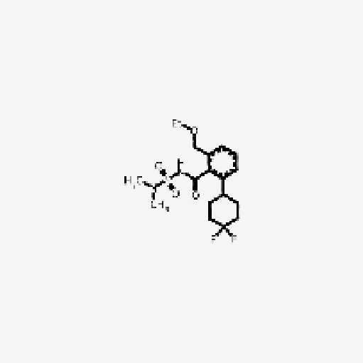 CCOCc1cccc(C2CCC(F)(F)CC2)c1C(=O)NS(=O)(=O)N(C)C